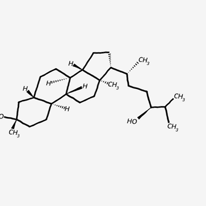 CC(C)[C@@H](O)CC[C@@H](C)[C@H]1CC[C@H]2[C@@H]3CC[C@H]4C[C@@](C)(O)CC[C@@H]4[C@H]3CC[C@]12C